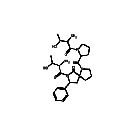 CC(O)C(N)C(=O)N1CCCC1C(=O)N1CCCC12CC(c1ccccc1)N(C(=O)C(N)C(C)O)C2=O